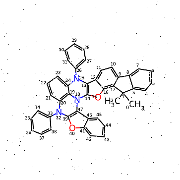 CC1(C)c2ccccc2-c2ccc3c4c(oc3c21)N1c2c(cccc2N4c2ccccc2)N(c2ccccc2)c2oc3ccccc3c21